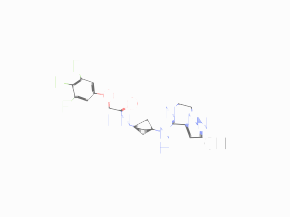 Cc1cc2n(n1)CCN=C2NC12CC(NC(=O)COc3cc(F)c(F)c(F)c3)(C1)C2